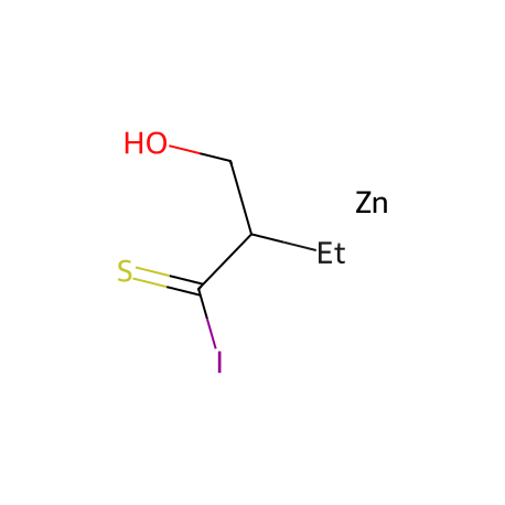 CCC(CO)C(=S)I.[Zn]